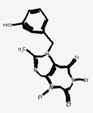 CCn1c(=O)c2c(nc(C)n2Cc2cccc(O)c2)n(CC)c1=O